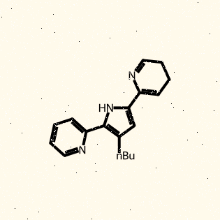 CCCCc1cc(C2=CCCC=N2)[nH]c1-c1ccccn1